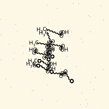 CCCCCCCC(=O)C(CCCCCCC(=O)OO)C(Br)(C(=O)CCCCCCC)C(=O)OO.CCCCCCCCCCCC(=O)OO.COc1ccc(/C=C/CCC(=O)OO)cc1.Cc1ccc(/C=C/CCC(=O)OO)cc1.O=C(CCCCCCC(C(=O)c1ccccc1)C(Br)(C(=O)OO)C(=O)c1ccccc1)OO.O=C(CCCCc1ccccc1)OOC(=O)CCCCc1ccccc1